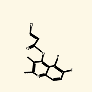 Cc1nc2ccc(F)c(F)c2c(OC(=O)C=CCl)c1C